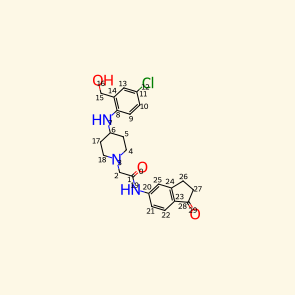 O=C(CN1CCC(Nc2ccc(Cl)cc2CO)CC1)Nc1ccc2c(c1)CCC2=O